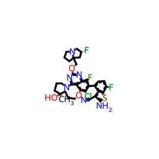 CC1(O)CCCN2c3nc(OCC45CCCN4C[C@H](F)C5)nc4c(F)c(-c5ccc(F)c6sc(N)c(C#N)c56)c(Cl)c(c34)OCCC21